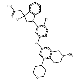 CN1CCc2c(cc(Nc3ncc(Cl)c(N4CC(C)(CC(=O)O)c5ccccc54)n3)cc2C2CCOCC2)C1